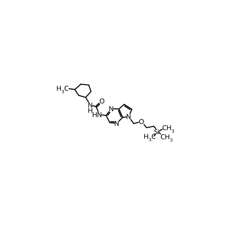 CC1CCCC(NC(=O)Nc2cnc3c(ccn3COCC[Si](C)(C)C)n2)C1